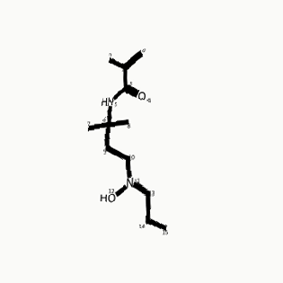 C=C(C)C(=O)NC(C)(C)CCN(O)CCC